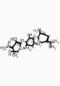 CNC1C(O)[C@@H](O[C@H]2C(N)C[C@H](N)C(O[C@H]3OCC([C@@H](C)N)CCC3N)C2O)OC[C@]1(C)O